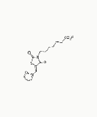 O=C(O)CCCCCCN1C(=O)SC(=Cc2ccco2)C1=O